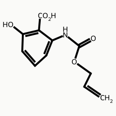 C=CCOC(=O)Nc1cccc(O)c1C(=O)O